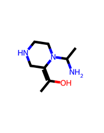 CC(O)=C1CNCCN1C(C)N